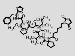 CC[C@H](C)[C@@H]([C@@H](CC(=O)N1CCC[C@H]1[C@H](OC)[C@@H](C)C(=O)N[C@@H](Cc1ccccc1)c1nccs1)OC)N(C)C(=O)[C@@H](NC(=O)C1(NC(=O)CCCCCN2C(=O)C=CC2=O)CCCC1)C(C)C